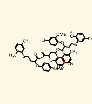 COc1ccc(OC(CCSc2cc(C)ccc2C)C(=O)OC(=O)C(CC(OC(=O)C(CCSc2cc(C)ccc2C)Oc2ccc(Cl)cc2OC)Sc2cc(C)ccc2C)Oc2ccc(C#N)cc2)cc1